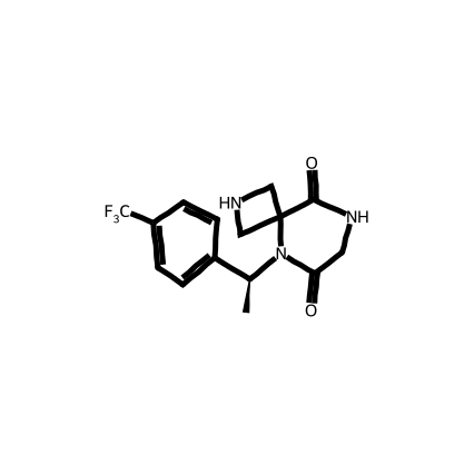 C[C@@H](c1ccc(C(F)(F)F)cc1)N1C(=O)CNC(=O)C12CNC2